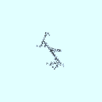 CCCCCCCC(CCCCC)CCOC(=O)CCCCC(O)CN(CCCCCO)CCCCCCC(=O)OCCC(CC)C(CCCC)CCCCCC